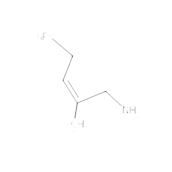 CCCCC=C(C)CN